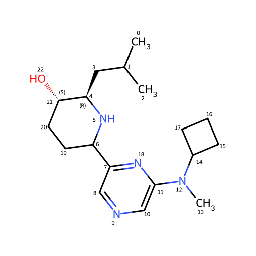 CC(C)C[C@H]1NC(c2cncc(N(C)C3CCC3)n2)CC[C@@H]1O